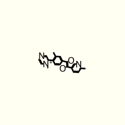 Cc1ccc2c(n1)oc1c3cc(C)c(-c4cncc[n+]4C)cc3oc21